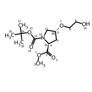 COC(=O)[C@@H]1C[C@@H](OCCO)CN1C(=O)OC(C)(C)C